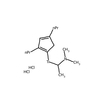 CCCC1=CC(CCC)=[C]([Ti][CH](C)N(C)C)C1.Cl.Cl